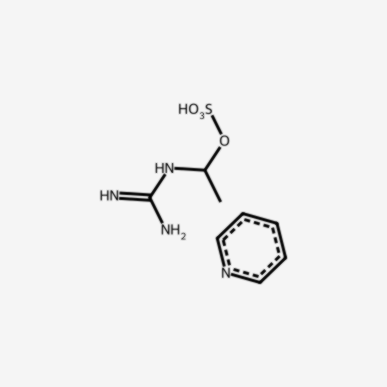 CC(NC(=N)N)OS(=O)(=O)O.c1ccncc1